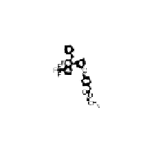 CCOC(=O)Cc1ccc(COc2cccc(-c3c(Cc4ccccc4)cnc4c(C(F)(F)F)cccc34)c2)cc1